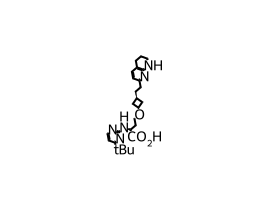 CC(C)(C)c1ccnc(NC(CCO[C@H]2C[C@H](CCc3ccc4c(n3)NCCC4)C2)C(=O)O)n1